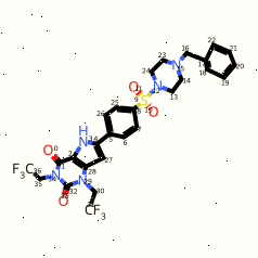 O=c1c2[nH]c(-c3ccc(S(=O)(=O)N4CCN(Cc5ccccc5)CC4)cc3)cc2n(CC(F)(F)F)c(=O)n1CC(F)(F)F